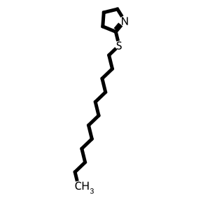 CCCCCCCCCCCCSC1=NCCC1